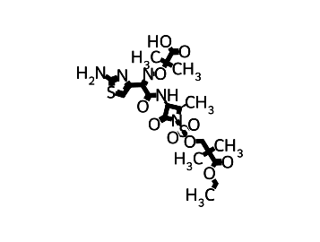 CCOC(=O)C(C)(C)COS(=O)(=O)N1C(=O)[C@@H](NC(=O)C(=NOC(C)(C)C(=O)O)c2csc(N)n2)[C@@H]1C